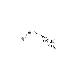 CCC(O)C[N+](C)(C)CC(O)COCCC[Si](C)(C)CC[Si](C)(C)C